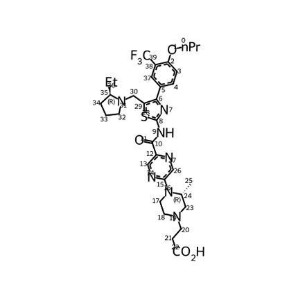 CCCOc1ccc(-c2nc(NC(=O)c3cnc(N4CCN(CCC(=O)O)C[C@H]4C)cn3)sc2CN2CCC[C@H]2CC)cc1C(F)(F)F